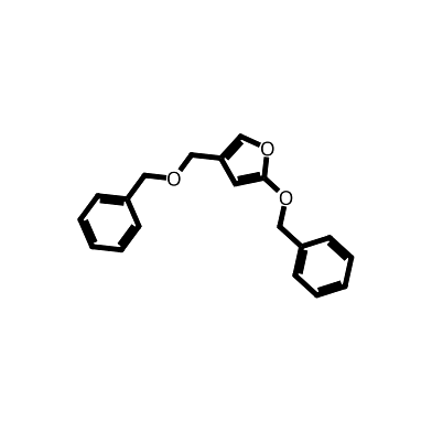 c1ccc(COCc2coc(OCc3ccccc3)c2)cc1